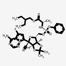 CCC(CC)COC(=O)[C@H](C)N[P@](=O)(OC[C@H]1O[C@@](C#N)(c2cc(F)c3c(N)ncnn23)[C@@H]2OC(C)(C)O[C@@H]21)Oc1ccccc1